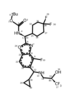 CC(C)(C)OC(=O)N[C@H](c1nc2c(F)c(C(NC[C@@H](O)C(F)(F)F)C3CC3)ccc2o1)C1CCC(F)(F)CC1